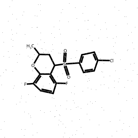 CC1CC(S(=O)(=O)c2ccc(Cl)cc2)c2c(F)ccc(F)c2O1